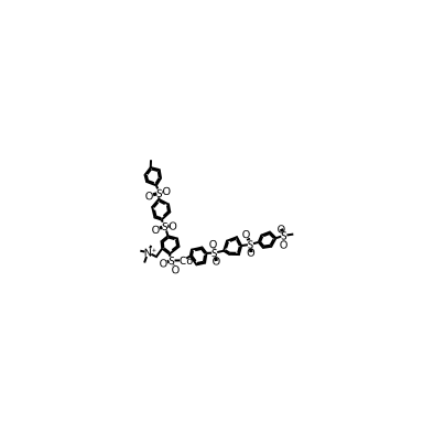 Cc1ccc(S(=O)(=O)c2ccc(S(=O)(=O)c3ccc([S](=O)(=O)[Co][c]4ccc(S(=O)(=O)c5ccc(S(=O)(=O)c6ccc(S(C)(=O)=O)cc6)cc5)cc4)c(C[N+](C)(C)C)c3)cc2)cc1